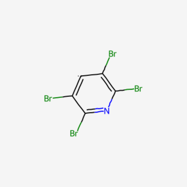 Brc1[c]c(Br)c(Br)nc1Br